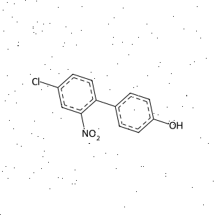 O=[N+]([O-])c1cc(Cl)ccc1-c1ccc(O)cc1